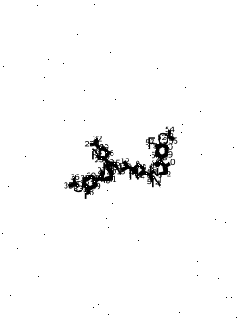 Cc1cc2ncc(-c3ccc(C(C)C[n+]4cc(-c5ccc(C(C)C)nc5)n5cc(-c6ccc(OC(C)C)c(F)c6)ccc54)nc3)n2cc1-c1ccc(OC(C)C)c(F)c1